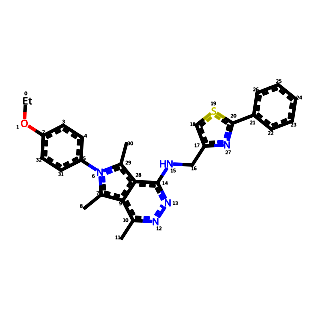 CCOc1ccc(-n2c(C)c3c(C)nnc(NCc4csc(-c5ccccc5)n4)c3c2C)cc1